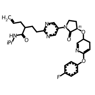 C=CCC(CCc1ncc(N2CC[C@@H](OC3C=NC(Oc4ccc(F)cc4)=CC3)C2=O)cn1)C(=O)NC(C)C